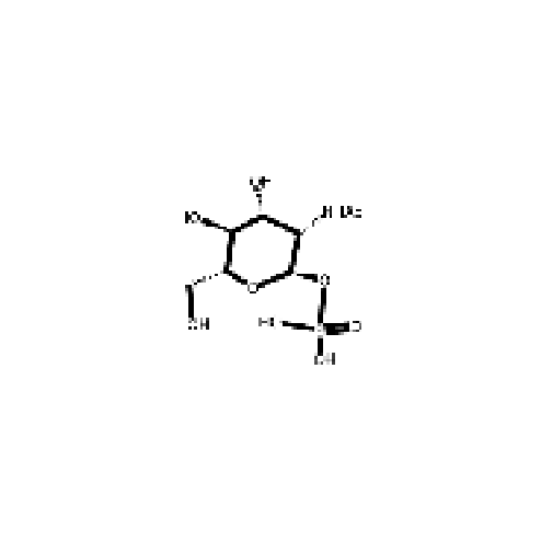 CC(=O)N[C@@H]1[C@@H](OP(=O)(O)O)O[C@H](CO)[C@@H](O)[C@@H]1O